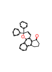 O=C1CCCc2c1c1c(c3ccccc23)OC(c2ccccc2)(c2ccccc2)C=C1